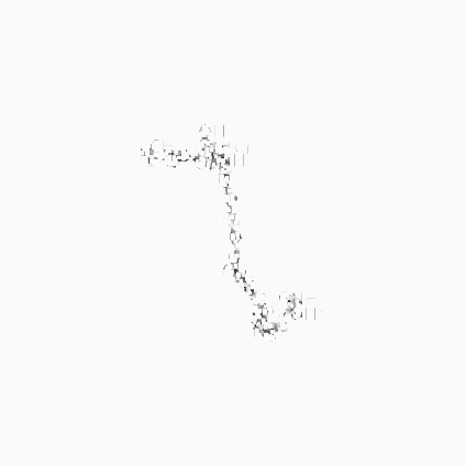 Cc1ncsc1-c1ccc(CNC(=O)[C@@H]2C[C@@H](O)CN2C(=O)[C@@H](NC(=O)COCCOCCOCCOCCOCC(=O)N2CCN([C@H]3CC[C@H](Oc4ncnc5sc6c(c45)[C@@H](C[C@H](O)C(N)=O)CC6)CC3)CC2)C(C)(C)C)cc1